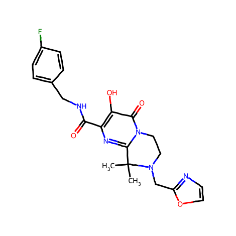 CC1(C)c2nc(C(=O)NCc3ccc(F)cc3)c(O)c(=O)n2CCN1Cc1ncco1